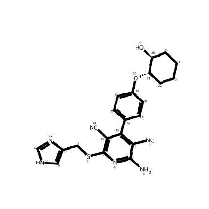 [C-]#[N+]c1c(N)nc(SCc2c[nH]cn2)c(C#N)c1-c1ccc(O[C@H]2CCCC[C@@H]2O)cc1